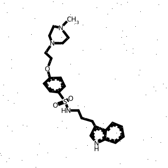 CN1CCN(CCOc2ccc(S(=O)(=O)NCCCc3c[nH]c4ccccc34)cc2)CC1